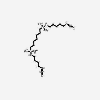 CC(C)[Si](CCCCCCC[Si](OCCCCN=[N+]=[N-])(C(C)C)C(C)C)(OCCCCCN=[N+]=[N-])C(C)C